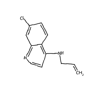 C=CCNc1ccnc2cc(Cl)ccc12